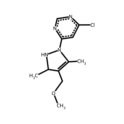 COCC1=C(C)N(c2cc(Cl)ncn2)NC1C